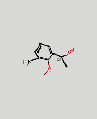 Bc1cccc([C@H](C)O)c1OC